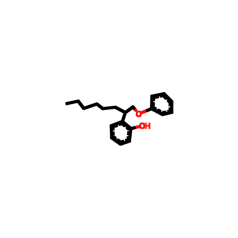 CCCCCCC(COc1ccccc1)c1ccccc1O